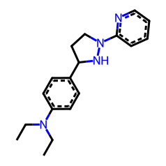 CCN(CC)c1ccc(C2CCN(c3ccccn3)N2)cc1